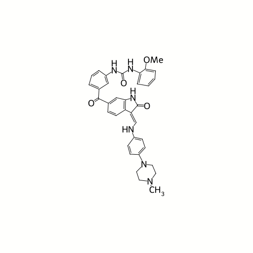 COc1ccccc1NC(=O)Nc1cccc(C(=O)c2ccc3c(c2)NC(=O)/C3=C/Nc2ccc(N3CCN(C)CC3)cc2)c1